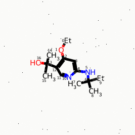 CCOc1cc(NC(C)(C)CC)ncc1C(C)(C)O